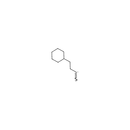 S=[C]CCC1CCCCC1